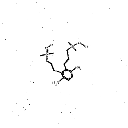 CCO[Si](C)(C)CCCc1c(N)ccc(N)c1CCC[Si](C)(C)OCC